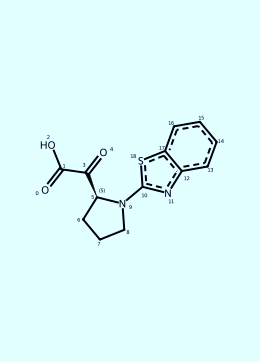 O=C(O)C(=O)[C@@H]1CCCN1c1nc2ccccc2s1